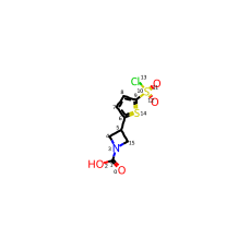 O=C(O)N1CC(c2ccc(S(=O)(=O)Cl)s2)C1